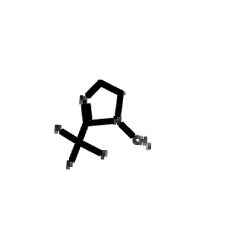 CN1[CH]CN=C1C(F)(F)F